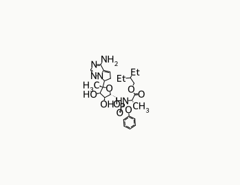 CCC(CC)COC(=O)[C@H](C)NP(=O)(OC[C@H]1O[C@@](C)(C2CC=C3C(N)=NC=NN32)[C@H](O)[C@@H]1O)Oc1ccccc1